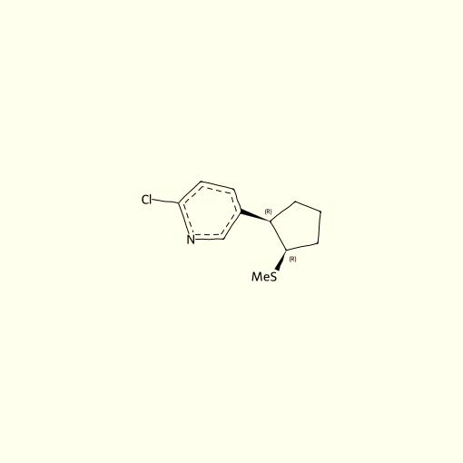 CS[C@@H]1CCC[C@@H]1c1ccc(Cl)nc1